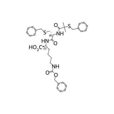 CC(C)(SCc1ccccc1)C(=O)N[C@@H](CSCc1ccccc1)C(=O)N[C@@H](CCCCNC(=O)OCc1ccccc1)C(=O)O